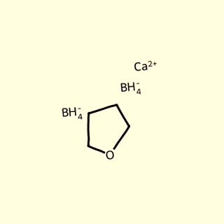 C1CCOC1.[BH4-].[BH4-].[Ca+2]